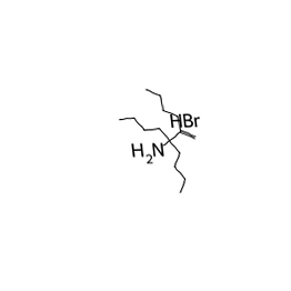 Br.C=C(CCCC)C(N)(CCCC)CCCC